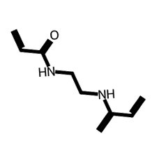 C=CC(=C)NCCNC(=O)C=C